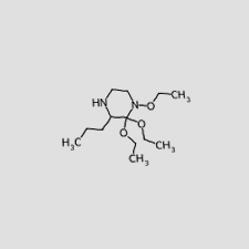 CCCC1NCCN(OCC)C1(OCC)OCC